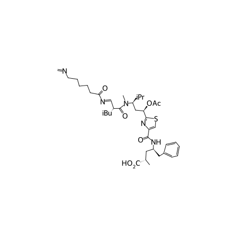 C=NCCCCCC(=O)/N=C/C(C(=O)N(C)[C@H](C[C@@H](OC(C)=O)c1nc(C(=O)N[C@@H](Cc2ccccc2)C[C@H](C)C(=O)O)cs1)C(C)C)[C@@H](C)CC